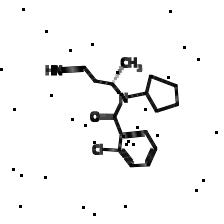 C[C@@H](CC=N)N(C(=O)c1ccccc1Cl)C1CCCC1